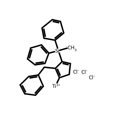 C[Si](C1=CC[C]([Ti+3])=C1Cc1ccccc1)(c1ccccc1)c1ccccc1.[Cl-].[Cl-].[Cl-]